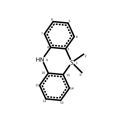 CS1(C)c2ccccc2Nc2ccccc21